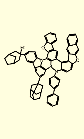 CCC1(c2ccc3c(c2)c2cc(C45CC6CC(CC(C6)C4)C5)cc4c2n3-c2c3c(cc5c2oc2ccccc25)-c2c(ccc5oc6cc7ccccc7cc6c25)N(c2ccc(-c5ccccc5)cc2)B34)CC2CCC(C2)C1